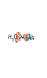 CS(=O)(=O)CCCOS(=O)(=O)C(F)(F)F